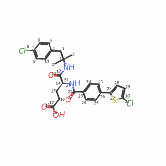 CC(C)(Cc1ccc(Cl)cc1)NC(=O)[C@H](CCC(=O)O)NC(=O)c1ccc(-c2ccc(Cl)s2)cc1